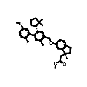 COC(=O)C[C@@]1(C)CCc2ccc(OCc3cc([C@@H]4CCCC4(C)C)c(-c4cc(OC)ccc4F)cc3F)cc21